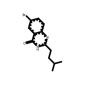 CC(C)CCc1nc2ccc(Br)cc2c(=O)[nH]1